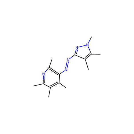 Cc1nc(C)c(N=Nc2nn(C)c(C)c2C)c(C)c1C